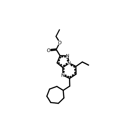 CCOC(=O)c1cc2nc(CC3CCCCCC3)cc(CC)n2n1